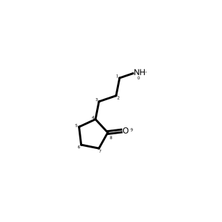 [NH]CCCC1CCCC1=O